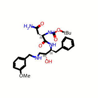 COc1cccc(CNC[C@@H](O)[C@H](Cc2ccccc2)NC(=O)[C@H](CC(N)=O)NC(=O)OC(C)(C)C)c1